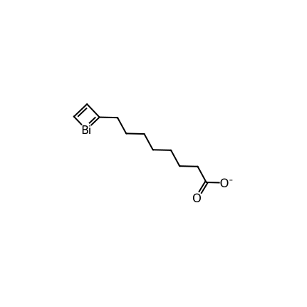 O=C([O-])CCCCCCC[C]1=[Bi][CH]=C1